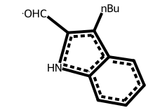 CCCCc1c([C]=O)[nH]c2ccccc12